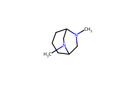 CN1CC2CCCC1CN2C